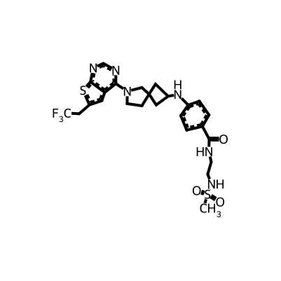 CS(=O)(=O)NCCNC(=O)c1ccc(NC2CC3(CCN(c4ncnc5sc(CC(F)(F)F)cc45)C3)C2)cc1